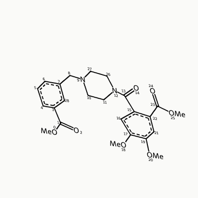 COC(=O)c1cccc(CN2CCN(C(=O)c3cc(OC)c(OC)cc3C(=O)OC)CC2)c1